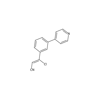 N#CC=C(Cl)c1cccc(-c2ccncc2)c1